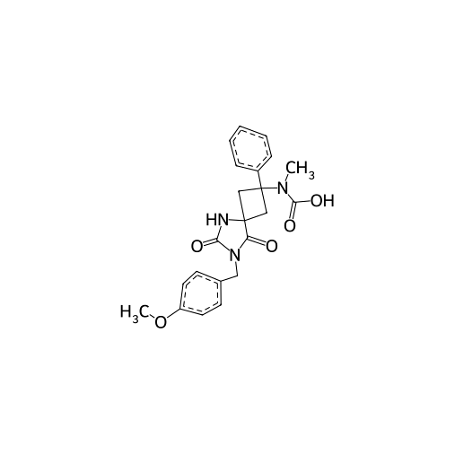 COc1ccc(CN2C(=O)NC3(CC(c4ccccc4)(N(C)C(=O)O)C3)C2=O)cc1